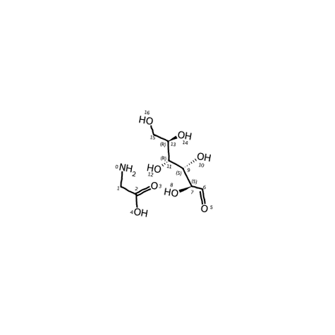 NCC(=O)O.O=C[C@@H](O)[C@@H](O)[C@H](O)[C@H](O)CO